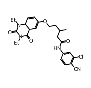 CCN1C(=O)C2C=C(OCCC(C)CC(=O)Nc3ccc(C#N)c(Cl)c3)C=CC2N(CC)C1=O